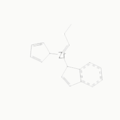 CC[CH]=[Zr]([CH]1C=CC=C1)[CH]1C=Cc2ccccc21